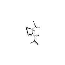 CC(C)N[C@@H]1CC[C@@H]1C(C)C